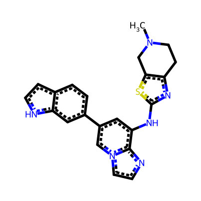 CN1CCc2nc(Nc3cc(-c4ccc5cc[nH]c5c4)cn4ccnc34)sc2C1